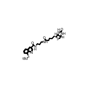 CC(C)(C)Sc1cccc2cc(C(=O)NCCCNC(=O)CCCC[C@@H]3SC[C@@H]4NC(=O)N[C@@H]43)cnc12